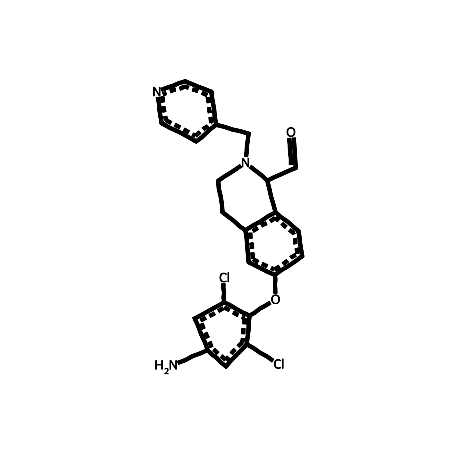 Nc1cc(Cl)c(Oc2ccc3c(c2)CCN(Cc2ccncc2)C3C=O)c(Cl)c1